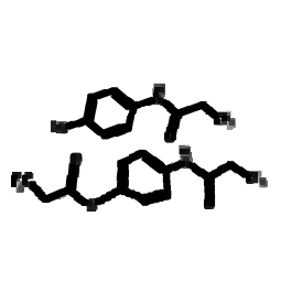 O=C(CC(F)(F)F)Nc1ccc(S)cc1.O=C(CC(F)(F)F)Nc1ccc(SC(=O)CC(F)(F)F)cc1